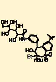 CCCCC1(CC)CS(=O)(=O)c2ccc(N(C)C)cc2C(c2cccc(NC(=O)C(O)C(O)C(O)C(O)CO)c2)C1O